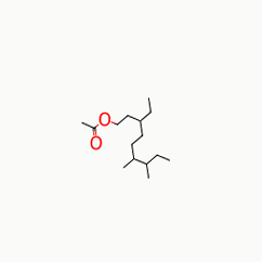 CCC(CCOC(C)=O)CCC(C)C(C)CC